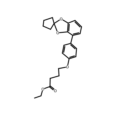 CCOC(=O)CCCOc1ccc(-c2cccc3c2OC2(CCCC2)O3)cc1